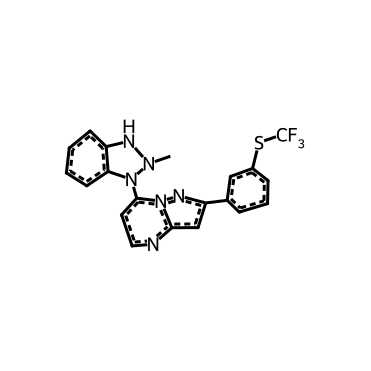 CN1Nc2ccccc2N1c1ccnc2cc(-c3cccc(SC(F)(F)F)c3)nn12